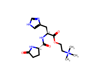 C[N+](C)(C)CCOC(=O)[C@H](Cc1c[nH]cn1)NC(=O)[C@@H]1CCC(=O)N1